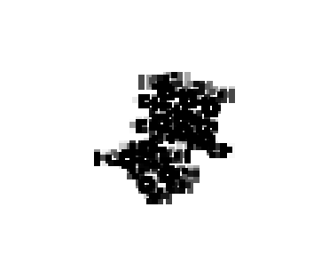 Oc1cc(O)c2c(c1)O[C@H](c1ccc(O)c(O)c1)[C@H](O)[C@H]2c1c(O)cc(O)c2c1O[C@H](c1ccc(O)c(O)c1)[C@H](O)C2.Oc1cc(O)c2c(c1)O[C@H](c1ccc(O)c(O)c1)[C@H](O)[C@H]2c1c(O)cc(O)c2c1O[C@H](c1ccc(O)c(O)c1)[C@H](O)[C@H]2c1c(O)cc(O)c2c1O[C@H](c1ccc(O)c(O)c1)[C@H](O)C2